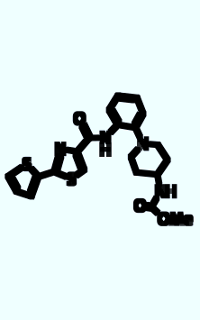 COC(=O)NC1CCN(c2ccccc2NC(=O)c2csc(-c3cccs3)n2)CC1